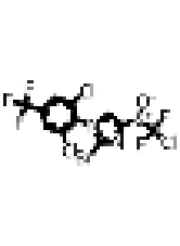 [O-][S+](c1cn(-c2c(Cl)cc(C(F)(F)F)cc2Cl)c(Br)n1)C(F)(F)Cl